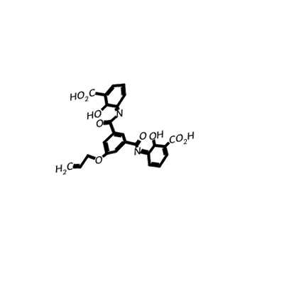 C=CCOc1cc(C(=O)N=C2C=CC=C(C(=O)O)C2O)cc(C(=O)N=C2C=CC=C(C(=O)O)C2O)c1